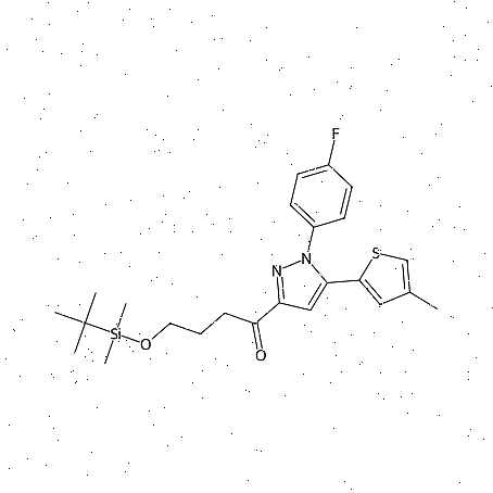 Cc1csc(-c2cc(C(=O)CCCO[Si](C)(C)C(C)(C)C)nn2-c2ccc(F)cc2)c1